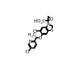 C[C@H](Oc1cc2c(cc1Cl)N(C1(C(=O)O)CO1)CS2)c1ccc(Cl)cn1